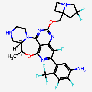 C[C@@H]1Oc2nc(-c3cc(N)c(F)c(F)c3C(F)(F)F)c(F)c3nc(OCC45CCN4CC(F)(F)C5)nc(c23)N2CCNC[C@@H]12